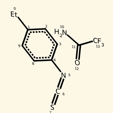 CCc1ccc(N=C=S)cc1.NC(=O)C(F)(F)F